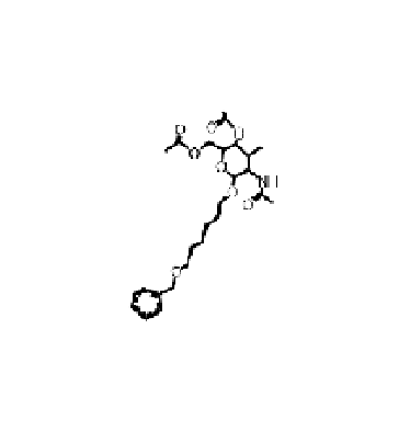 CC(=O)NC1C(OCCCCCCOCc2ccccc2)OC(COC(C)=O)C(OC(C)=O)C1C